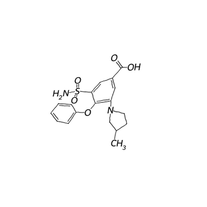 CC1CCN(c2cc(C(=O)O)cc(S(N)(=O)=O)c2Oc2ccccc2)C1